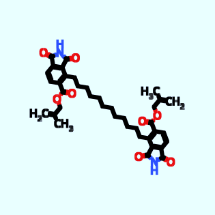 C=C(C)COC(=O)c1ccc2c(c1CCCCCCCCCCCCc1c(C(=O)OCC(=C)C)ccc3c1C(=O)NC3=O)C(=O)NC2=O